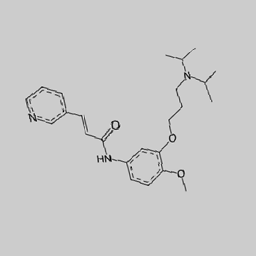 COc1ccc(NC(=O)C=Cc2cccnc2)cc1OCCCN(C(C)C)C(C)C